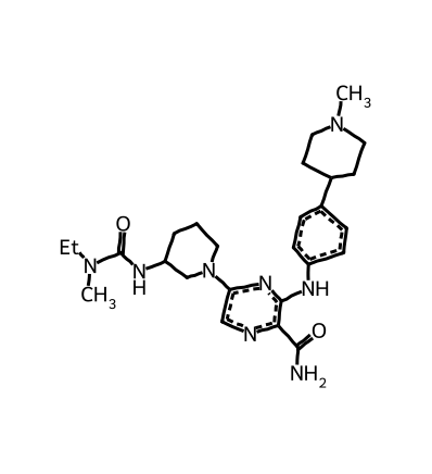 CCN(C)C(=O)NC1CCCN(c2cnc(C(N)=O)c(Nc3ccc(C4CCN(C)CC4)cc3)n2)C1